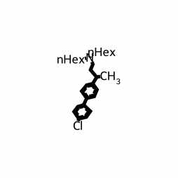 CCCCCCN(CCCCCC)CCC(C)c1ccc(-c2ccc(Cl)cc2)cc1